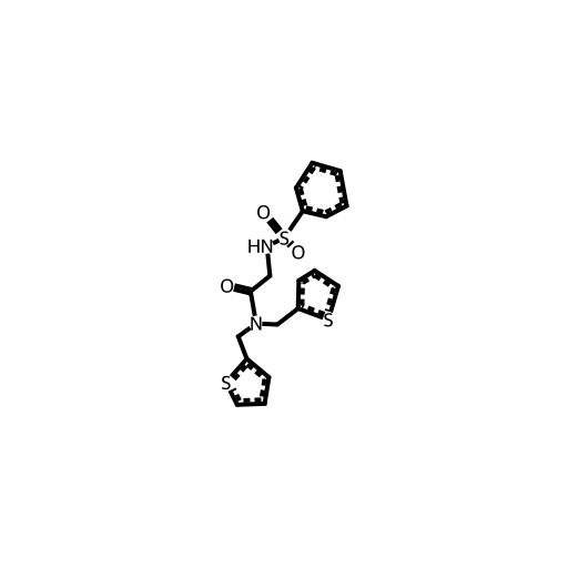 O=C(CNS(=O)(=O)c1ccccc1)N(Cc1cccs1)Cc1cccs1